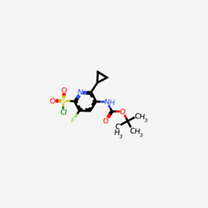 CC(C)(C)OC(=O)Nc1cc(F)c(S(=O)(=O)Cl)nc1C1CC1